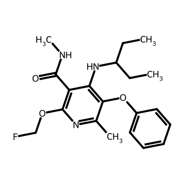 CCC(CC)Nc1c(Oc2ccccc2)c(C)nc(OCF)c1C(=O)NC